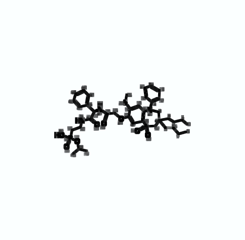 CCCCC1(CCCC)CN(c2ccccc2)c2cc(SC)c(OCC(=O)N[C@@H](C(=O)NCCP(=O)(O)OC(C)C)c3ccccc3)cc2S(=O)(=O)C1